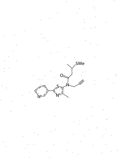 C#CCN(C(=O)CC(C)SC)c1sc(-c2cccnc2)nc1C